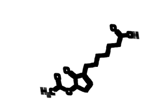 CC(=O)OC1CC=C(CCCCCCC(=O)O)C1=O